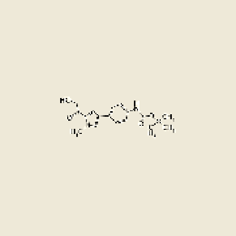 Cn1cc(-c2ccc(NC(=O)OC(C)(C)C)cc2)cc1C(=O)CO